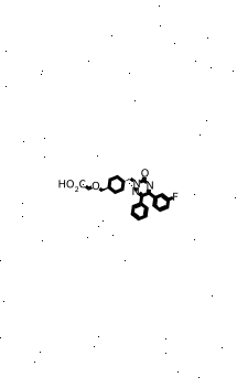 O=C(O)COC[C@H]1CC[C@H](Cn2nc(-c3ccccc3)c(-c3cccc(F)c3)nc2=O)CC1